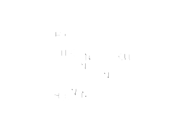 Cc1cnc2c(-c3cnn(C)c3)nn(-c3cccc(C)c3C)c2c1